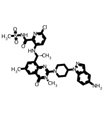 Cc1cc([C@@H](C)Nc2ccc(Cl)nc2C(=O)NS(C)(=O)=O)c2nc(N3CCC(n4ncc5cc(N)ccc54)CC3)n(C)c(=O)c2c1